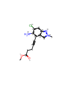 COC(=O)CCC#Cc1c(N)c(Cl)cc2nn(C)cc12